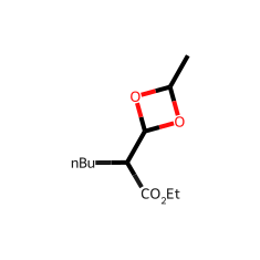 CCCCC(C(=O)OCC)C1OC(C)O1